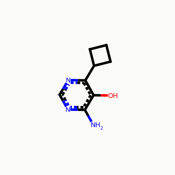 Nc1n[c]nc(C2CCC2)c1O